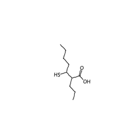 CCCCC(S)C(CCC)C(=O)O